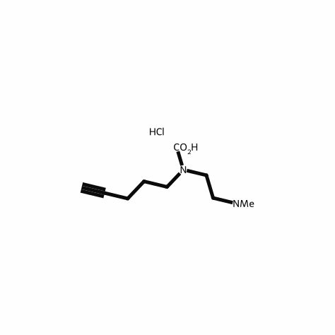 C#CCCCN(CCNC)C(=O)O.Cl